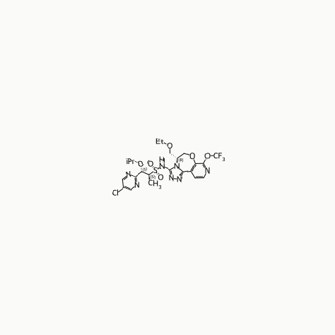 CCOC[C@@H]1COc2c(ccnc2OC(F)(F)F)-c2nnc(NS(=O)(=O)[C@@H](C)[C@@H](OC(C)C)c3ncc(Cl)cn3)n21